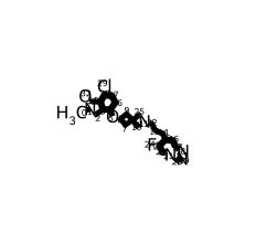 CN1Cc2c(OC3CC4(C3)CN(CCCc3cc5nncn5cc3F)C4)ccc(Cl)c2C1=O